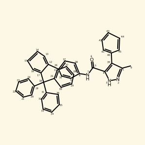 Cc1n[nH]c(C(=O)Nc2ccc(-c3ccccc3C(c3ccccc3)(c3ccccc3)c3ccccc3)cc2)c1-c1ccccc1